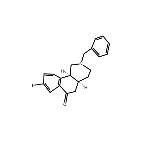 O=C1C[C@@H]2CCN(Cc3ccccc3)C[C@@H]2c2ccc(F)cc21